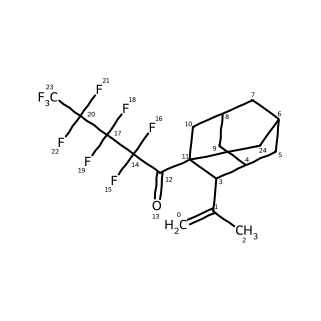 C=C(C)C1C2CC3CC(C2)CC1(C(=O)C(F)(F)C(F)(F)C(F)(F)C(F)(F)F)C3